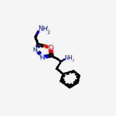 NCc1nnc(C(N)Cc2ccccc2)o1